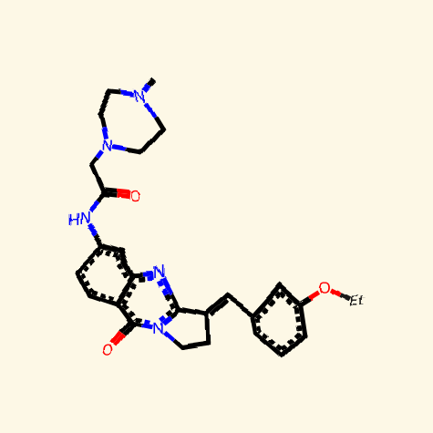 CCOc1cccc(C=C2CCn3c2nc2cc(NC(=O)CN4CCN(C)CC4)ccc2c3=O)c1